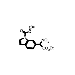 CCOC(=O)C(c1ccc2ccn(C(=O)OC(C)(C)C)c2c1)[N+](=O)[O-]